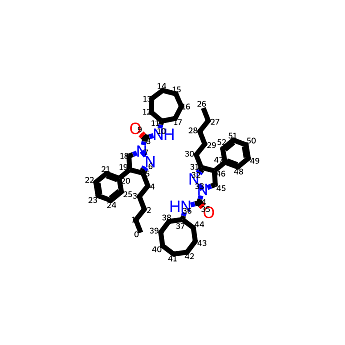 CCCCCC1=NN(C(=O)NC2CCCCCC2)CC1c1ccccc1.CCCCCC1=NN(C(=O)NC2CCCCCCC2)CC1c1ccccc1